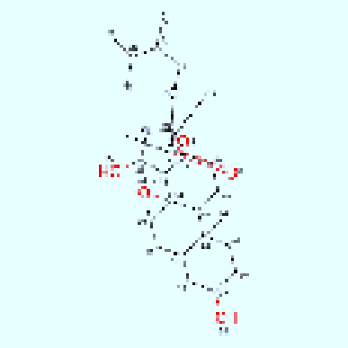 C=C(CCC1(C)OC(=O)C23CCC4C5(C)CCC(O)CC5CC5OC54C2C(O)CC13)C(C)C